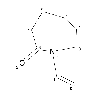 [CH]=CN1CCCCCC1=O